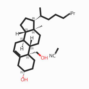 CC#N.CC(C)CCCC(C)[C@H]1CC[C@H]2[C@@H]3CC=C4C[C@@H](O)CC[C@]4(CO)[C@H]3CC[C@]12C